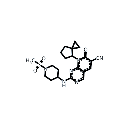 CS(=O)(=O)N1CCC(Nc2ncc3cc(C#N)c(=O)n(C4CCCC45CC5)c3n2)CC1